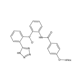 CCCCCCOc1ccc(C(=O)Nc2ccccc2[S+]([O-])c2ccccc2-c2nnn[nH]2)cc1